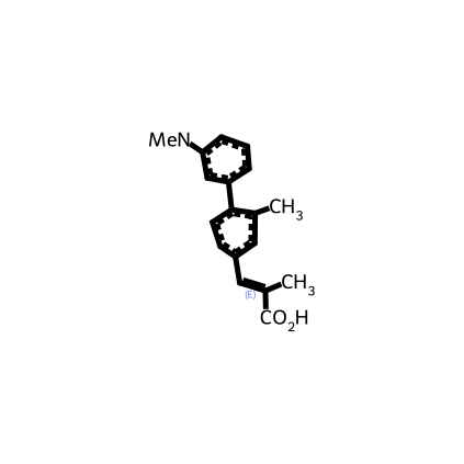 CNc1cccc(-c2ccc(/C=C(\C)C(=O)O)cc2C)c1